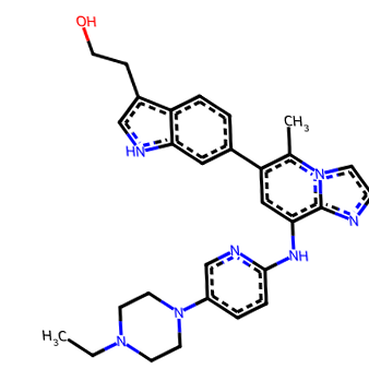 CCN1CCN(c2ccc(Nc3cc(-c4ccc5c(CCO)c[nH]c5c4)c(C)n4ccnc34)nc2)CC1